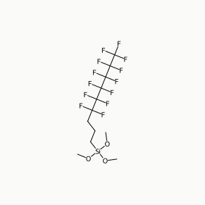 CO[Si](CCCC(F)(F)C(F)(F)C(F)(F)C(F)(F)C(F)(F)C(F)(F)F)(OC)OC